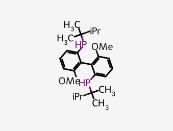 COc1cccc(PC(C)(C)C(C)C)c1-c1c(OC)cccc1PC(C)(C)C(C)C